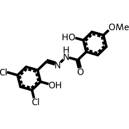 COc1ccc(C(=O)N/N=C/c2cc(Cl)cc(Cl)c2O)c(O)c1